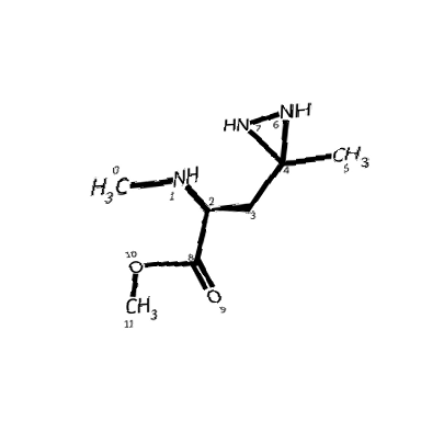 CN[C@@H](CC1(C)NN1)C(=O)OC